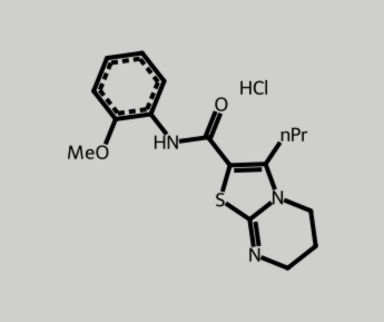 CCCC1=C(C(=O)Nc2ccccc2OC)SC2=NCCCN21.Cl